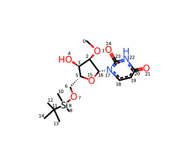 CO[C@@H]1[C@H](O)[C@@H](CO[Si](C)(C)C(C)(C)C)O[C@H]1n1ccc(=O)[nH]c1=O